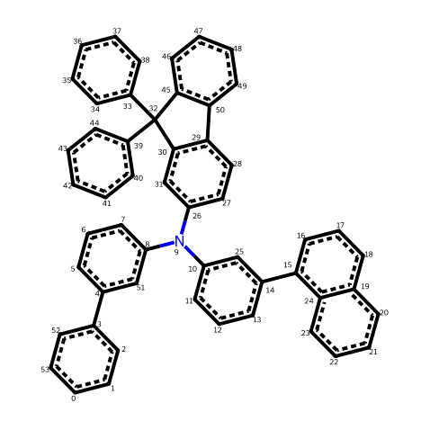 c1ccc(-c2cccc(N(c3cccc(-c4cccc5ccccc45)c3)c3ccc4c(c3)C(c3ccccc3)(c3ccccc3)c3ccccc3-4)c2)cc1